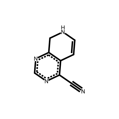 N#Cc1ncnc2c1C=CNC2